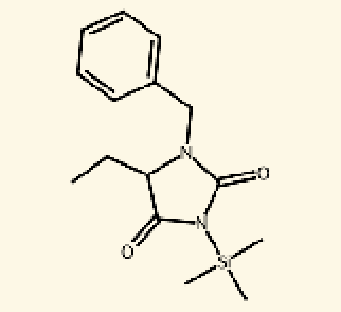 CCC1C(=O)N([Si](C)(C)C)C(=O)N1Cc1ccccc1